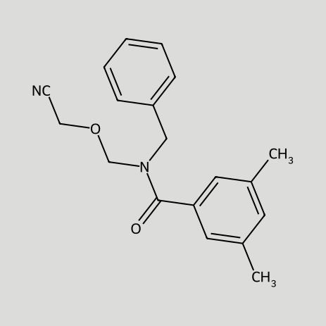 Cc1cc(C)cc(C(=O)N(COCC#N)Cc2ccccc2)c1